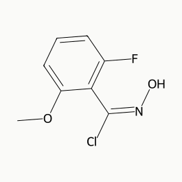 COc1cccc(F)c1/C(Cl)=N\O